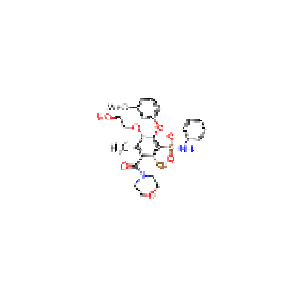 COc1cccc(Oc2c(OCCO)c(C)c(C(=O)N3CCOCC3)c(S)c2S(=O)(=O)Nc2ccccc2)c1